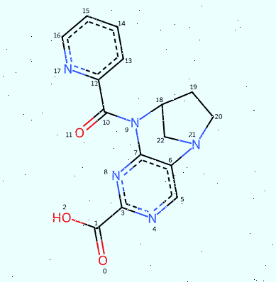 O=C(O)c1ncc2c(n1)N(C(=O)c1ccccn1)C1CCN2C1